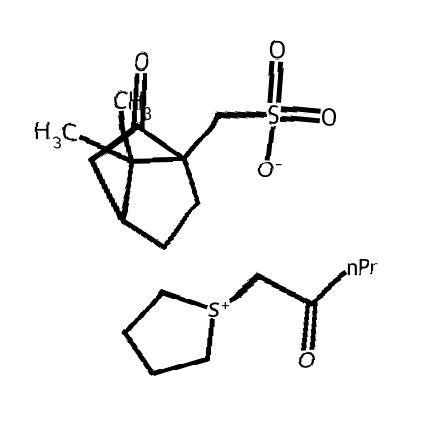 CC1(C)C2CCC1(CS(=O)(=O)[O-])C(=O)C2.CCCC(=O)C[S+]1CCCC1